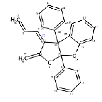 C=C/C=C1\C(=C)OC2(c3ccccc3)Oc3ccccc3C12c1ccccc1